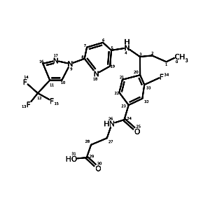 CCCC(Nc1ccc(-n2cc(C(F)(F)F)cn2)nc1)c1ccc(C(=O)NCCC(=O)O)cc1F